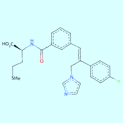 CSCC[C@H](NC(=O)c1cccc(C=C(Cn2ccnc2)c2ccc(F)cc2)c1)C(=O)O